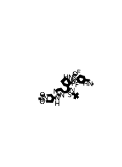 CNCc1cc(F)c(S(=O)(=O)Nc2cccc(-c3nc(C(C)(C)C)sc3-c3ccnc(NC4CCN(S(C)(=O)=O)CC4)n3)c2F)c(F)c1